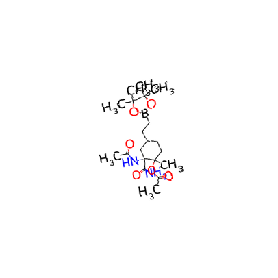 CC(=O)NC1(C(N)=O)CC(CCB2OC(C)(C)C(C)(C)O2)CCC1(C)OC(C)=O